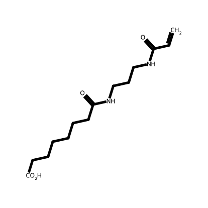 C=CC(=O)NCCCNC(=O)CCCCCCC(=O)O